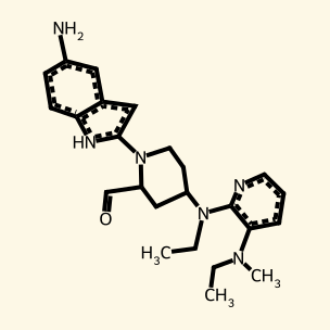 CCN(C)c1cccnc1N(CC)C1CCN(c2cc3cc(N)ccc3[nH]2)C(C=O)C1